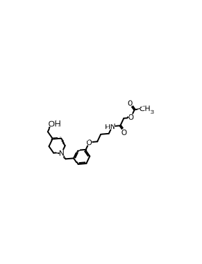 CC(=O)OCC(=O)NCCCOc1cccc(CN2CCC(CO)CC2)c1